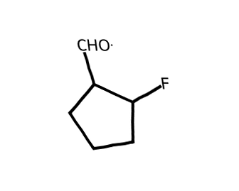 O=[C]C1CCCC1F